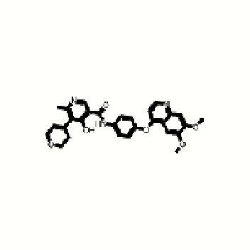 COc1cc2nccc(Oc3ccc(NC(=O)c4cnc(C)c(C5=CCOCC5)c4O)cc3)c2cc1OC